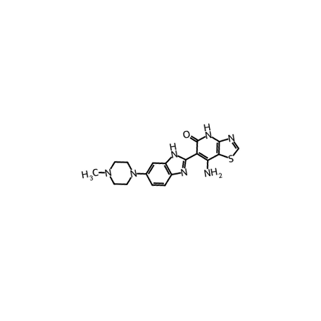 CN1CCN(c2ccc3nc(-c4c(N)c5scnc5[nH]c4=O)[nH]c3c2)CC1